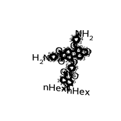 CCCCCCN(CCCCCC)c1ccc2c3c(cccc13)C(=O)N(c1ccc(Oc3cc4c5c(ccc6c7c(Oc8ccc(N)cc8)cc8c9c(ccc(c3c56)c97)COC8)C(=O)N(c3ccc(N)cc3)C4=O)cc1)C2=O